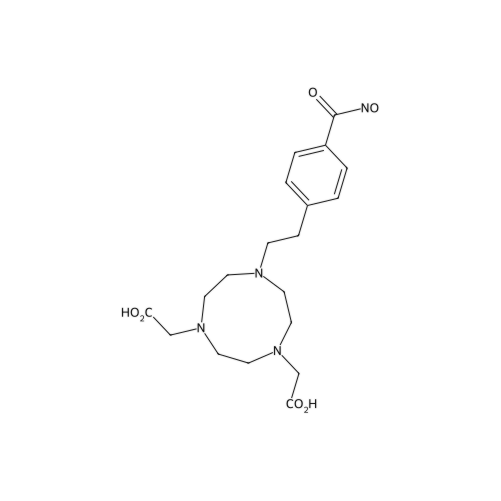 O=NC(=O)c1ccc(CCN2CCN(CC(=O)O)CCN(CC(=O)O)CC2)cc1